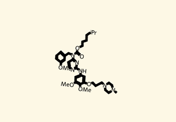 COc1cccc(CN(C(=O)OCCCCC(C)C)c2ccnc(Nc3cc(OC)c(OC)c(OCCCN4CCN(C)CC4)c3)n2)c1